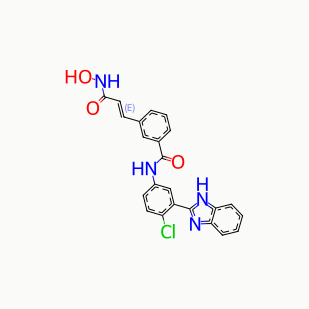 O=C(/C=C/c1cccc(C(=O)Nc2ccc(Cl)c(-c3nc4ccccc4[nH]3)c2)c1)NO